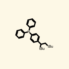 CC(C)(C)CC(c1ccc(N(c2ccccc2)c2ccccc2)cc1)C(C)(C)C